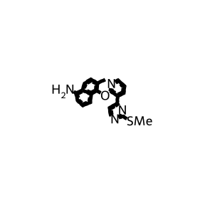 CSc1nccc(-c2cccnc2Oc2c(C)ccc3c(N)cccc23)n1